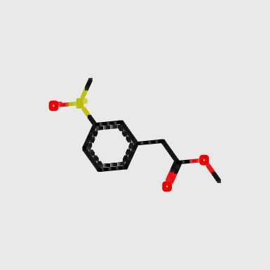 COC(=O)Cc1cccc([S+](C)[O-])c1